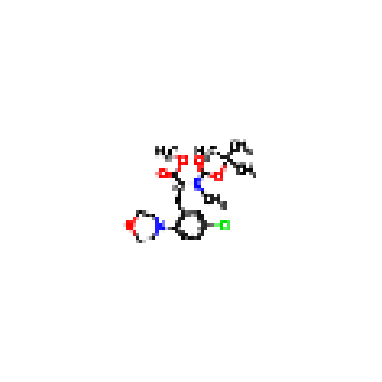 COC(=O)[C@H](Cc1cc(Cl)ccc1N1CCOCC1)N(C)C(=O)OC(C)(C)C